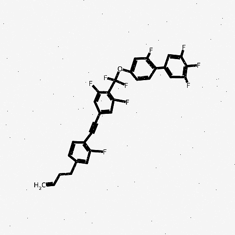 C=CCCc1ccc(C#Cc2cc(F)c(C(F)(F)Oc3ccc(-c4cc(F)c(F)c(F)c4)c(F)c3)c(F)c2)c(F)c1